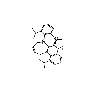 CC(C)c1cccc(C(C)C)c1N1CC=CCN(c2c(C(C)C)cccc2C(C)C)C1C(=O)O